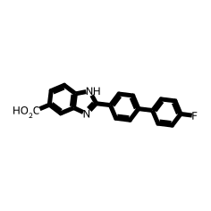 O=C(O)c1ccc2[nH]c(-c3ccc(-c4ccc(F)cc4)cc3)nc2c1